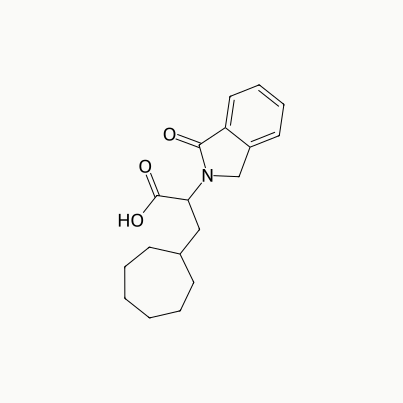 O=C(O)C(CC1CCCCCC1)N1Cc2ccccc2C1=O